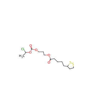 CC(Cl)OC(=O)OCCCOC(=O)CCCCC1CCSS1